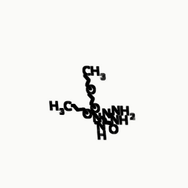 CCCCOCCCOC(OCCCC)N1CNc2c1nc(N)[nH]c2=O